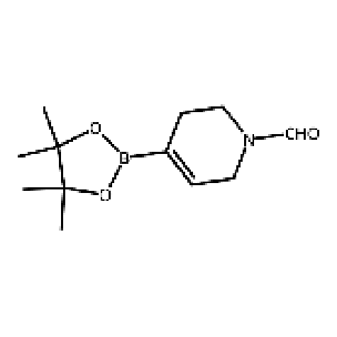 CC1(C)OB(C2=CCN(C=O)CC2)OC1(C)C